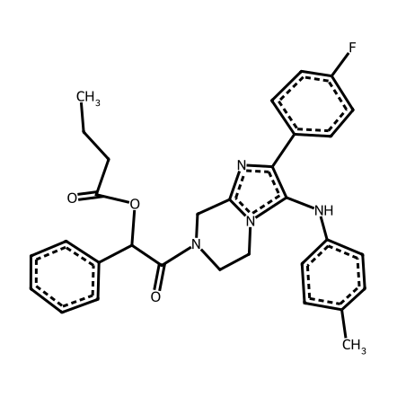 CCCC(=O)OC(C(=O)N1CCn2c(nc(-c3ccc(F)cc3)c2Nc2ccc(C)cc2)C1)c1ccccc1